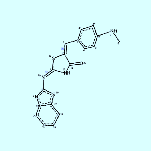 CNc1ccc(/C=C2/S/C(=N/c3nc4ccccc4s3)NC2=O)cc1